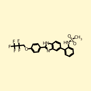 CS(=O)(=O)Nc1ccccc1-c1ccc2[nH]c(-c3ccc(OCC(F)(F)C(F)(F)F)cc3)nc2c1